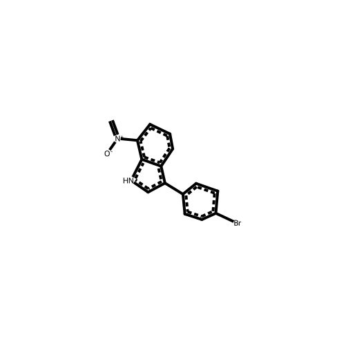 C=[N+]([O-])c1cccc2c(-c3ccc(Br)cc3)c[nH]c12